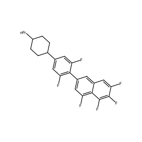 CCCC1CCC(c2cc(F)c(-c3cc(F)c4c(F)c(F)c(F)cc4c3)c(F)c2)CC1